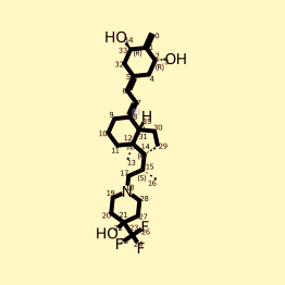 C=C1[C@H](O)CC(=C/C=C2\CCC[C@]3(C)[C@@H]([C@H](C)CN4CCC(O)(C(F)(F)F)CC4)CC[C@@H]23)C[C@H]1O